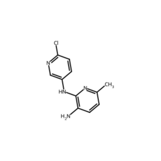 Cc1ccc(N)c(Nc2ccc(Cl)nc2)n1